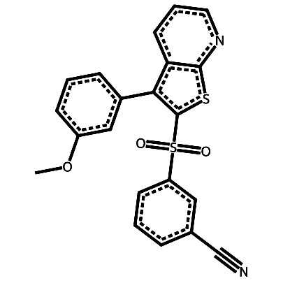 COc1cccc(-c2c(S(=O)(=O)c3cccc(C#N)c3)sc3ncccc23)c1